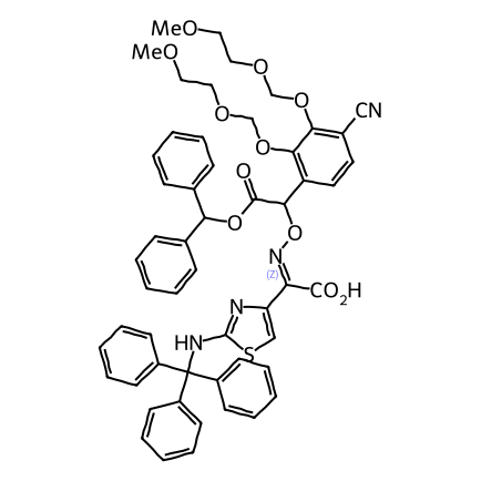 COCCOCOc1c(C#N)ccc(C(O/N=C(\C(=O)O)c2csc(NC(c3ccccc3)(c3ccccc3)c3ccccc3)n2)C(=O)OC(c2ccccc2)c2ccccc2)c1OCOCCOC